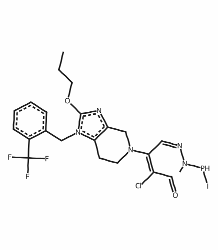 CCCOc1nc2c(n1Cc1ccccc1C(F)(F)F)CCN(C(/C=N\N(C)PI)=C(\Cl)C=O)C2